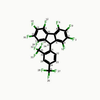 Fc1c(F)c(F)c2c(c1F)-c1c(F)c(F)c(F)c(F)c1C2c1ccc(C(F)(F)F)cc1C(F)(F)F